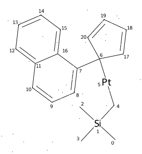 C[Si](C)(C)[CH2][Pt][C]1(c2cccc3ccccc23)C=CC=C1